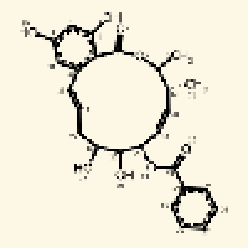 CC1OC(=O)c2c(O)cc(O)cc2/C=C/CC(O)C(O)[C@H](OC(=O)c2ccccc2)/C=C\[C@H]1C